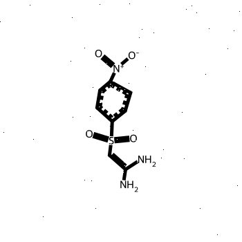 NC(N)=CS(=O)(=O)c1ccc([N+](=O)[O-])cc1